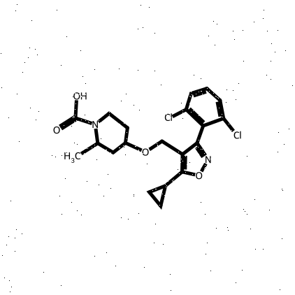 CC1CC(OCc2c(-c3c(Cl)cccc3Cl)noc2C2CC2)CCN1C(=O)O